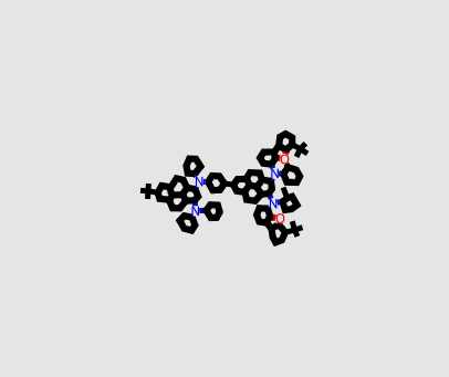 Cc1ccccc1N(c1cc(N(c2ccccc2C)c2cccc3c2oc2c(C(C)(C)C)cccc23)c2ccc3cc(-c4ccc(N(c5ccccc5)c5cc(N(c6ccccc6)c6ccccc6)c6ccc7cc(C(C)(C)C)cc8ccc5c6c78)cc4)cc4ccc1c2c43)c1cccc2c1oc1c(C(C)(C)C)cccc12